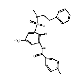 CN(CCc1ccccc1)S(=O)(=O)c1cc(C(=O)O)cc(NC(=O)c2ccc(F)cc2)c1Cl